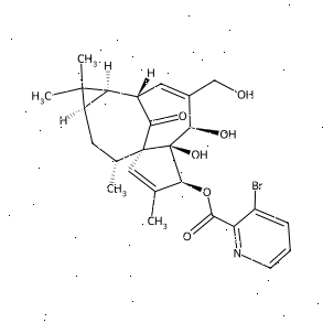 CC1=C[C@]23C(=O)[C@@H](C=C(CO)[C@@H](O)[C@]2(O)[C@H]1OC(=O)c1ncccc1Br)[C@H]1[C@@H](C[C@H]3C)C1(C)C